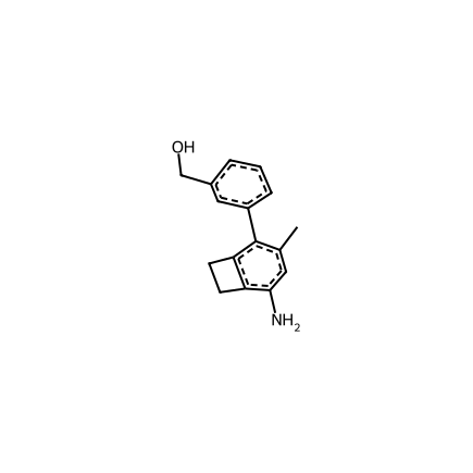 Cc1cc(N)c2c(c1-c1cccc(CO)c1)CC2